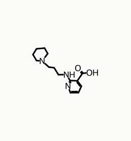 O=C(O)c1cccnc1NCCCN1CCCCC1